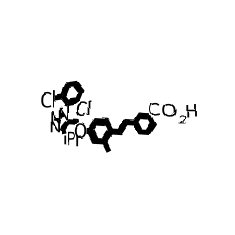 Cc1cc(OCc2c(C(C)C)nnn2-c2c(Cl)cccc2Cl)ccc1/C=C/c1cccc(C(=O)O)c1